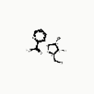 NC(=O)c1ncccc1[C@H]1O[C@H](CO)[C@@H](O)[C@H]1O